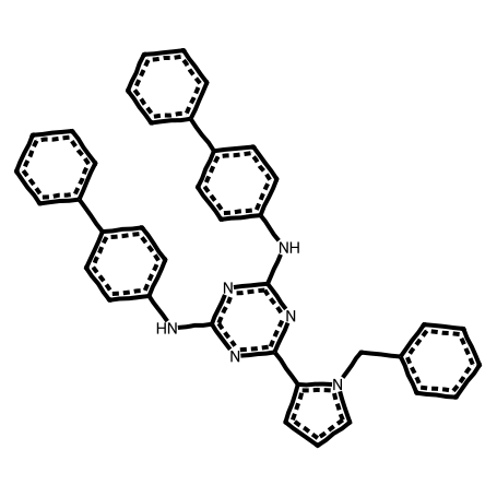 c1ccc(Cn2cccc2-c2nc(Nc3ccc(-c4ccccc4)cc3)nc(Nc3ccc(-c4ccccc4)cc3)n2)cc1